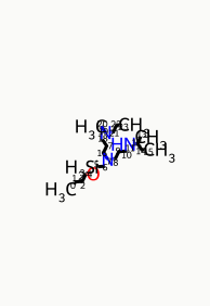 CCCCO[SiH2]CN(CCCNC(C)CC)CCCN(C)CCC